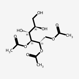 CC(=O)OC[C@H](OC(C)=O)[C@@H](OC(C)=O)[C@H](O)[C@H](O)CO